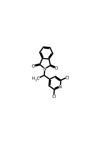 CC(c1cc(Cl)nc(Cl)c1)N1C(=O)c2ccccc2C1=O